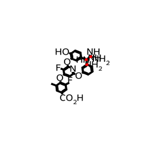 Cc1cc(C(=O)O)cc(C)c1Oc1c(F)c(Oc2cccc(NC(=N)N)c2)nc(Oc2cc(C(=N)N)ccc2O)c1F